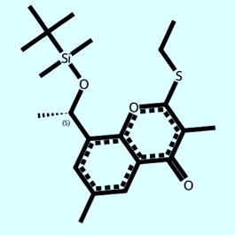 CCSc1oc2c([C@H](C)O[Si](C)(C)C(C)(C)C)cc(C)cc2c(=O)c1C